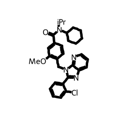 COc1cc(C(=O)N(C(C)C)C2CCCCC2)ccc1Cn1c(-c2ccccc2Cl)nc2cccnc21